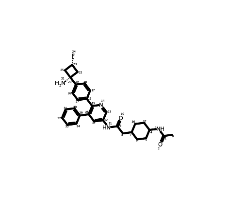 CC(=O)NC1CCC(CC(=O)Nc2cnc(-c3ccc([C@]4(N)C[C@@H](F)C4)cc3)c(-c3ccccc3)c2)CC1